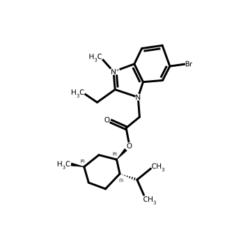 CCc1n(CC(=O)O[C@@H]2C[C@H](C)CC[C@H]2C(C)C)c2cc(Br)ccc2[n+]1C